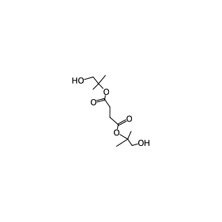 CC(C)(CO)OC(=O)CCC(=O)OC(C)(C)CO